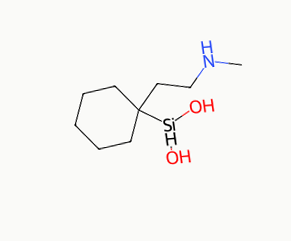 CNCCC1([SiH](O)O)CCCCC1